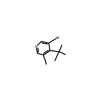 Cc1cncc(Br)c1C(C)(C)C